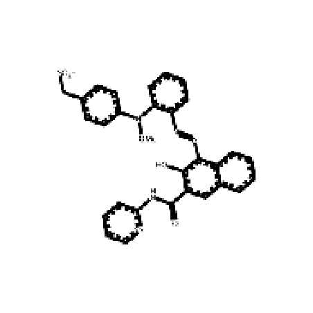 CON(c1ccc(CS(=O)(=O)O)cc1)c1ccccc1/N=N/c1c(O)c(C(=O)Nc2ccccn2)cc2ccccc12